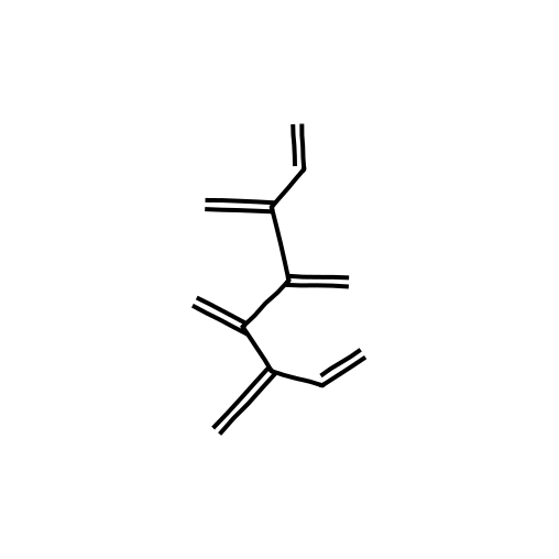 C=CC(=C)C(=C)C(=C)C(=C)C=C